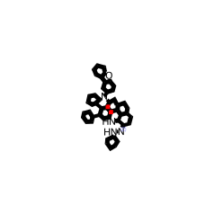 N=C1/C(=N\Nc2ccccc2)C=Cc2ccc3cc(N(c4ccc5oc6ccccc6c5c4)c4ccccc4-c4ccccc4-c4ccccc4)ccc3c21